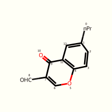 CCCc1ccc2occ(C=O)c(=O)c2c1